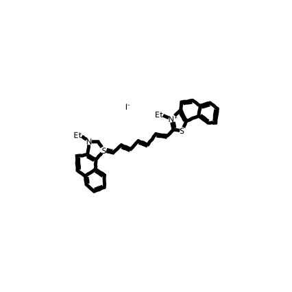 CCN1CS(=CC=CC=CC=Cc2sc3c4ccccc4ccc3[n+]2CC)c2c1ccc1ccccc21.[I-]